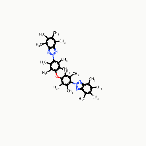 Cc1c(C)c(-n2nc3c(C)c(C)c(C)c(C)c3n2)c(C)c(C)c1Oc1c(C)c(C)c(-n2nc3c(C)c(C)c(C)c(C)c3n2)c(C)c1C